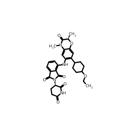 CCOC1CCC(c2cc3c(cc2Nc2cccc4c2C(=O)N([C@@H]2CCC(=O)NC2=O)C4=O)N(C)C(=O)[C@@H](C)O3)CC1